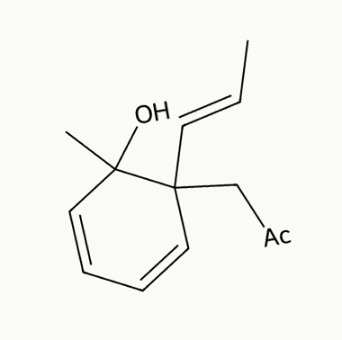 CC=CC1(CC(C)=O)C=CC=CC1(C)O